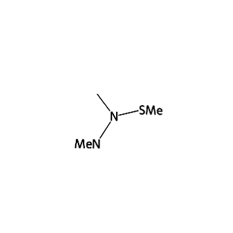 CNN(C)SC